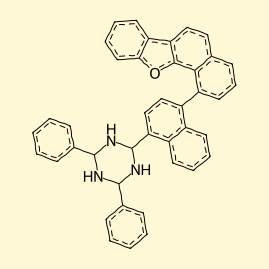 c1ccc(C2NC(c3ccccc3)NC(c3ccc(-c4cccc5ccc6c7ccccc7oc6c45)c4ccccc34)N2)cc1